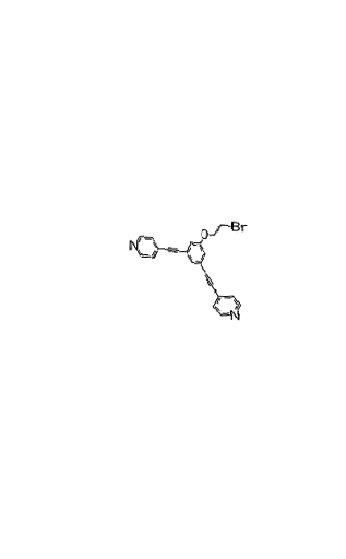 BrCCOc1cc(C#Cc2ccncc2)cc(C#Cc2ccncc2)c1